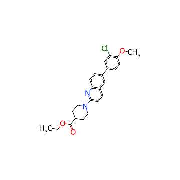 CCOC(=O)C1CCN(c2ccc3cc(-c4ccc(OC)c(Cl)c4)ccc3n2)CC1